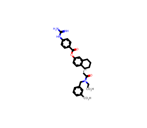 N=C(N)Nc1ccc(C(=O)Oc2ccc3c(c2)CCC[C@@H]3CC(=O)N(CC(=O)O)Cc2cccc(C(=O)O)c2)cc1